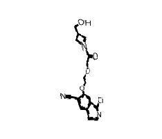 N#Cc1cc2ccnc(Cl)c2cc1OCCOCC(=O)N1CC(CO)C1